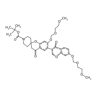 COCCOCOc1ccc2c(=O)c(-c3cc4c(cc3OCOCCOC)OC3(CCN(C(=O)OC(C)(C)C)CC3)CC4=O)coc2c1